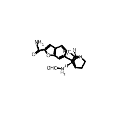 C[C@H]1[C@@H](c2ccc3cc(C(N)=O)oc3c2)C2CCN1CC2.NC=O